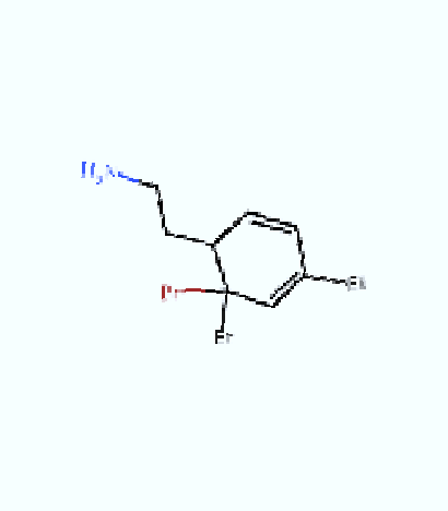 CCC1=CC(Br)(CC)C(CCN)C=C1